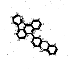 c1ccc2c(c1)Sc1ccc(-c3c4ccccc4c4c5c(cccc35)-c3cccnc3-4)cc1S2